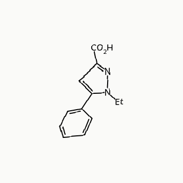 CCn1nc(C(=O)O)cc1-c1ccccc1